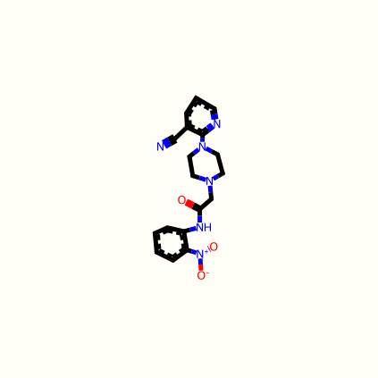 N#Cc1cccnc1N1CCN(CC(=O)Nc2ccccc2[N+](=O)[O-])CC1